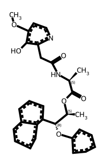 COc1ccnc(CC(=O)N[C@@H](C)C(=O)O[C@@H](C)[C@H](Oc2ccccc2)c2cccc3ccccc23)c1O